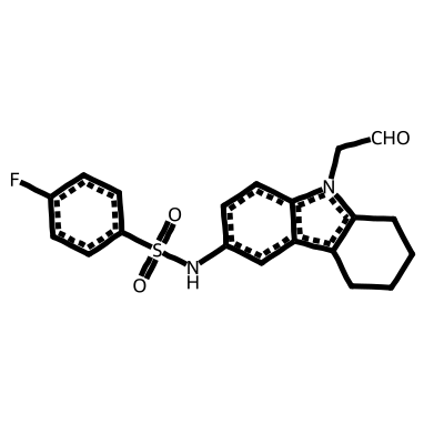 O=CCn1c2c(c3cc(NS(=O)(=O)c4ccc(F)cc4)ccc31)CCCC2